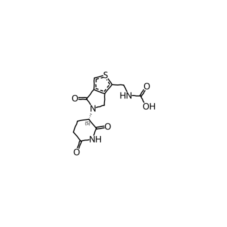 O=C(O)NCc1scc2c1CN([C@H]1CCC(=O)NC1=O)C2=O